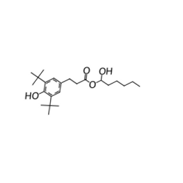 CCCCCC(O)OC(=O)CCc1cc(C(C)(C)C)c(O)c(C(C)(C)C)c1